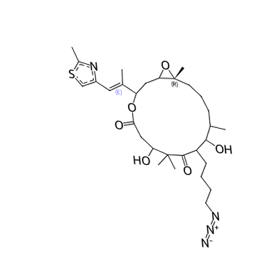 C/C(=C\c1csc(C)n1)C1CC2O[C@]2(C)CCCC(C)C(O)C(CCCCN=[N+]=[N-])C(=O)C(C)(C)C(O)CC(=O)O1